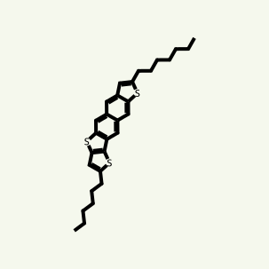 CCCCCCCc1cc2cc3cc4sc5cc(CCCCCC)sc5c4cc3cc2s1